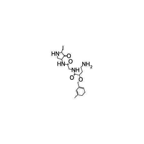 CC1=CC(COC(CCN)C(=O)NCC(=O)NC2CNC(I)C2=O)=CCC1